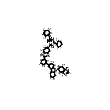 C1=CCCC(c2nc(-c3ccccc3)nc(-c3ccc4nc(-c5cccc(-c6ccc7c(c6)c6ccccc6n7-c6ccc7scnc7c6)c5)sc4c3)n2)=C1